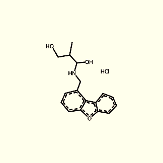 CC(CO)C(O)NCc1cccc2oc3ccccc3c12.Cl